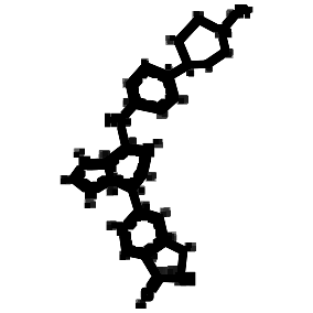 CC(C)N1CCC(c2ccc(Nc3ncc(-c4cc5c(cn4)C(=O)NC5)n4ncnc34)cc2)CC1